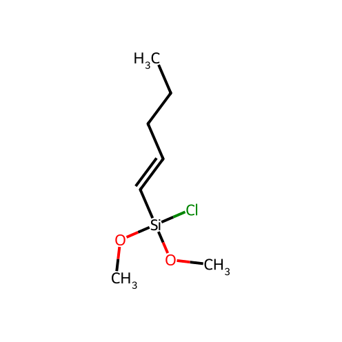 CCC/C=C/[Si](Cl)(OC)OC